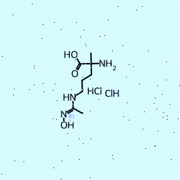 C/C(=N\O)NCCCC(C)(N)C(=O)O.Cl.Cl